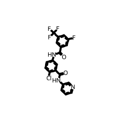 O=C(Nc1ccc(Cl)c(C(=O)Nc2cccnc2)c1)c1cc(F)cc(C(F)(F)F)c1